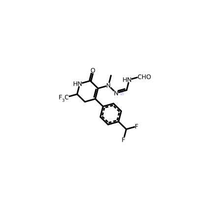 CN(/N=C\NC=O)C1=C(c2ccc(C(F)F)cc2)CC(C(F)(F)F)NC1=O